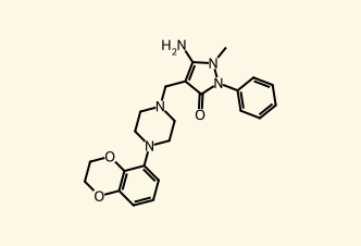 Cn1c(N)c(CN2CCN(c3cccc4c3OCCO4)CC2)c(=O)n1-c1ccccc1